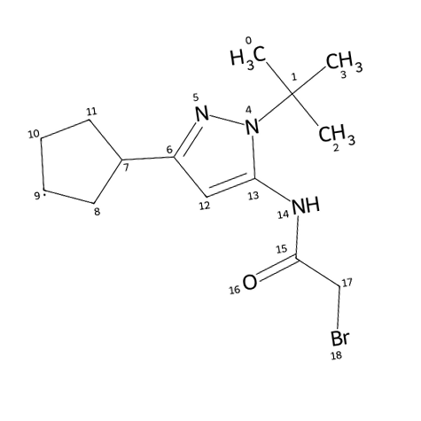 CC(C)(C)n1nc(C2C[CH]CC2)cc1NC(=O)CBr